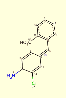 NC1C=C/C(=C\c2ccccc2C(=O)O)C=C1Cl